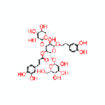 C[C@@H]1OC(O[C@H]2[C@H](OC(=O)/C=C/c3ccc(O)c(O)c3)[C@@H](COC3O[C@H](CO)[C@@H](O)[C@H](O)[C@H]3O)OC(OCCc3ccc(O)c(O)c3)[C@@H]2O)[C@H](O)[C@H](O)[C@H]1O